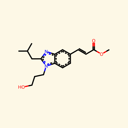 COC(=O)C=Cc1ccc2c(c1)nc(CC(C)C)n2CCCO